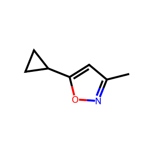 Cc1cc(C2CC2)on1